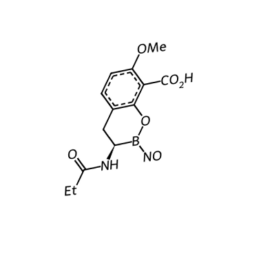 CCC(=O)N[C@H]1Cc2ccc(OC)c(C(=O)O)c2OB1N=O